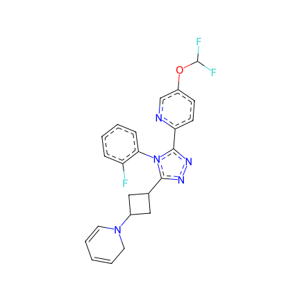 Fc1ccccc1-n1c(-c2ccc(OC(F)F)cn2)nnc1C1CC(N2C=CC=CC2)C1